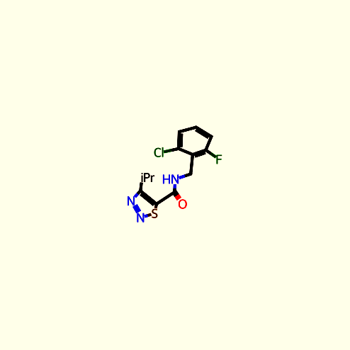 CC(C)c1nnsc1C(=O)NCc1c(F)cccc1Cl